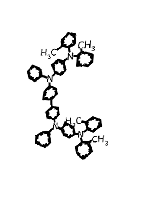 Cc1ccccc1N(c1ccc(N(c2ccccc2)c2ccc(-c3ccc(N(c4ccccc4)c4ccc(N(c5ccccc5C)c5ccccc5C)cc4)cc3)cc2)cc1)c1ccccc1C